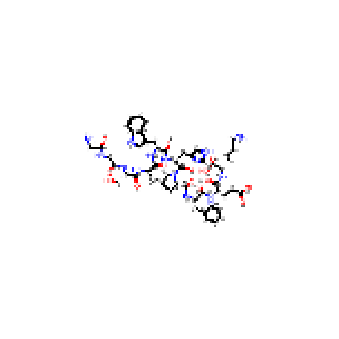 C[C@H](NC(=O)[C@H](CO)NC(=O)CNC(=O)CN)C(=O)N[C@@H](Cc1c[nH]c2ccccc12)C(=O)N[C@@H](Cc1c[nH]cn1)C(=O)N1CCC[C@H]1C(=O)N[C@@H](Cc1ccccc1)C(=O)N[C@@H](CCC(=O)O)C(=O)N[C@@H](CCCCN)C(=O)O